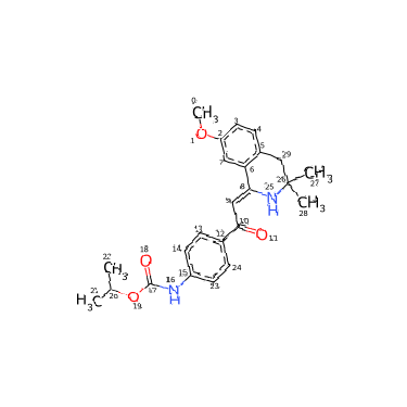 COc1ccc2c(c1)C(=CC(=O)c1ccc(NC(=O)OC(C)C)cc1)NC(C)(C)C2